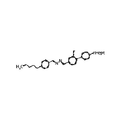 C=CCCCc1ccc(C=NN=Cc2ccc(-c3ccc(CCCCCCC)cc3)c(F)c2)cc1